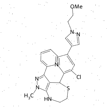 COCCn1cc(-c2ccc(C3SCCNc4c3c(-c3ccccn3)nn4C)c(Cl)c2)cn1